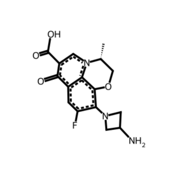 C[C@@H]1COc2c(N3CC(N)C3)c(F)cc3c(=O)c(C(=O)O)cn1c23